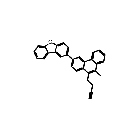 C#CCCc1c(C)c2ccccc2c2cc(-c3ccc4oc5ccccc5c4c3)ccc12